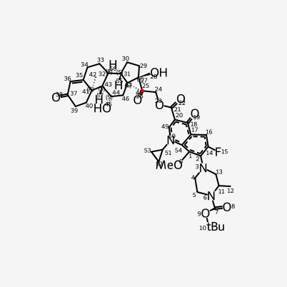 COc1c(N2CCN(C(=O)OC(C)(C)C)C(C)C2)c(F)cc2c(=O)c(C(=O)OCC(=O)[C@@]3(O)CC[C@H]4[C@@H]5CCC6=CC(=O)CC[C@]6(C)[C@H]5[C@@H](O)C[C@@]43C)cn(C3CC3)c12